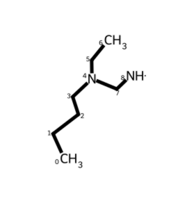 CCCCN(CC)C[NH]